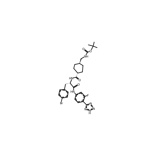 CC(C)(C)OC(=O)NC[C@H]1CC[C@H](C(=O)N[C@@H](Cc2ccc(Br)cc2)C(=O)Nc2ccc(-c3nn[nH]n3)c(F)c2)CC1